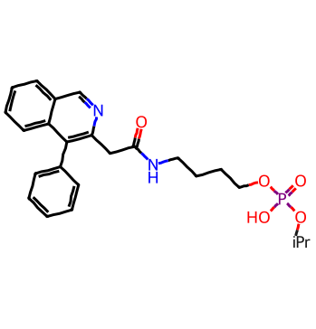 CC(C)OP(=O)(O)OCCCCNC(=O)Cc1ncc2ccccc2c1-c1ccccc1